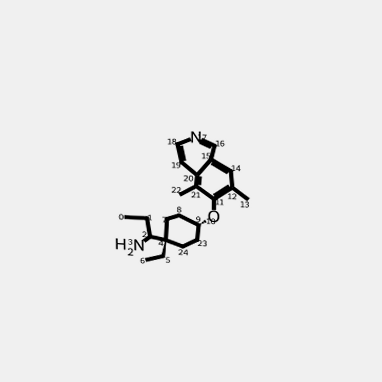 CCC(N)[C@]1(CC)CC[C@H](Oc2c(C)cc3cnccc3c2C)CC1